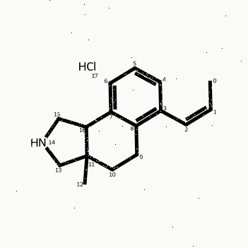 C/C=C\c1cccc2c1CCC1(C)CNCC21.Cl